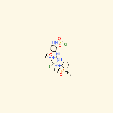 COC1CCC(NS(=O)(=O)CCl)CC1NC1NCC(Cl)C(NC2CCCCC2P(C)(C)=O)N1